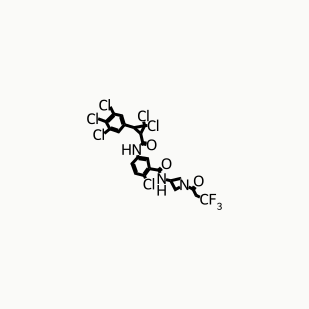 O=C(NC1CN(C(=O)CC(F)(F)F)C1)c1cc(NC(=O)C2C(c3cc(Cl)c(Cl)c(Cl)c3)C2(Cl)Cl)ccc1Cl